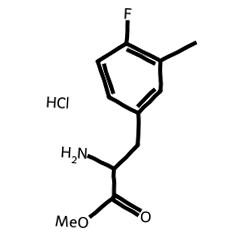 COC(=O)C(N)Cc1ccc(F)c(C)c1.Cl